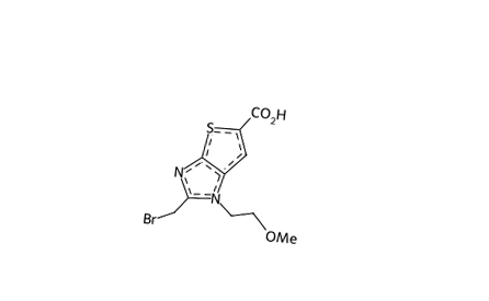 COCCn1c(CBr)nc2sc(C(=O)O)cc21